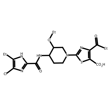 CCOC1CN(c2nc(C(=O)CC)c(C(=O)O)s2)CCC1NC(=O)c1nc(Cl)c(CC)[nH]1